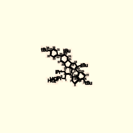 CC(C)C[C](CC(C)C)=[Zr]([C]1=CC=CC1)[c]1c2c(cc(C(C)(C)C)c1-c1ccc(C(C)(C)C)cc1)-c1cc(C(C)(C)C)c(-c3ccc(C(C)(C)C)cc3)cc1C2.Cl.Cl